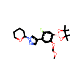 COCOc1cc(-c2cnn(C3CCCCO3)c2)c(F)cc1B1OC(C)(C)C(C)(C)O1